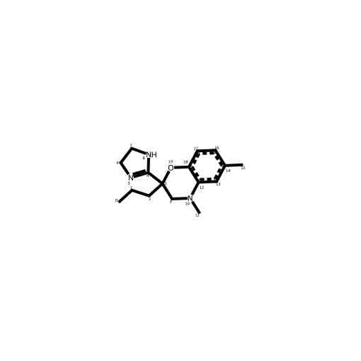 CCCC1(C2=NCCN2)CN(C)c2cc(C)ccc2O1